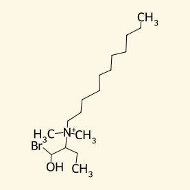 CCCCCCCCCCC[N+](C)(C)C(CC)C(O)Br